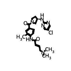 Cc1cc(C(=O)N2CC[C@@H](Nc3ncc(Cl)cn3)C2)ccc1NC(=O)/C=C/CN(C)C